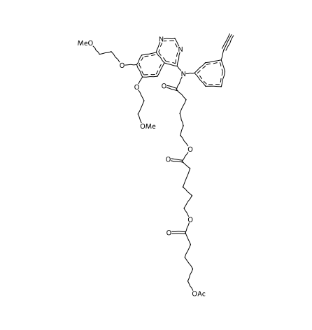 C#Cc1cccc(N(C(=O)CCCCOC(=O)CCCCOC(=O)CCCCOC(C)=O)c2ncnc3cc(OCCOC)c(OCCOC)cc23)c1